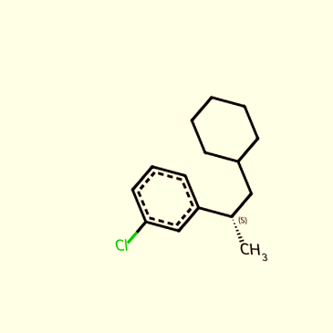 C[C@@H](CC1CCCCC1)c1cccc(Cl)c1